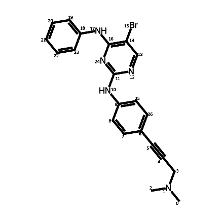 CN(C)CC#Cc1ccc(Nc2ncc(Br)c(Nc3ccccc3)n2)cc1